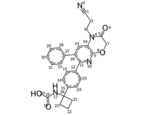 N#CCCN1C(=O)COc2nc(-c3ccc(C4(NC(=O)O)CCC4)cc3)c(-c3ccccc3)cc21